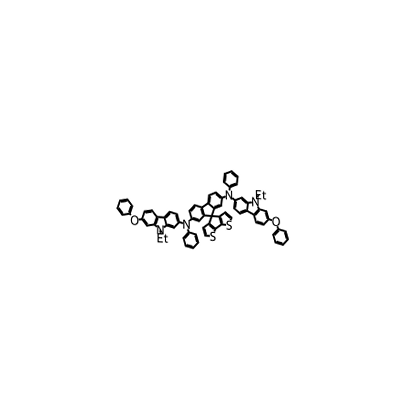 CCn1c2cc(Oc3ccccc3)ccc2c2ccc(N(c3ccccc3)c3ccc4c(c3)C3(c5cc(N(c6ccccc6)c6ccc7c8ccc(Oc9ccccc9)cc8n(CC)c7c6)ccc5-4)c4ccsc4-c4sccc43)cc21